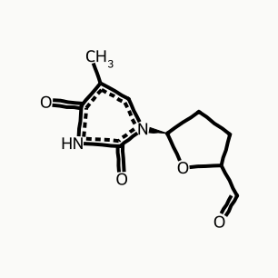 Cc1cn([C@H]2CCC(C=O)O2)c(=O)[nH]c1=O